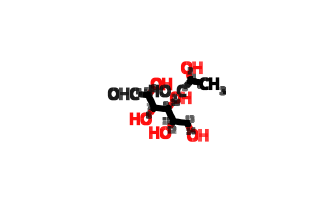 CC(O)C(=O)O.O=CC(O)C(O)C(O)C(O)CO